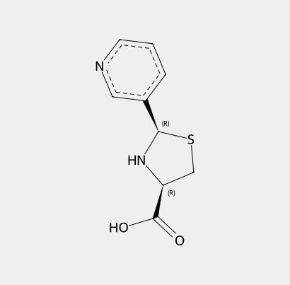 O=C(O)[C@@H]1CS[C@H](c2cccnc2)N1